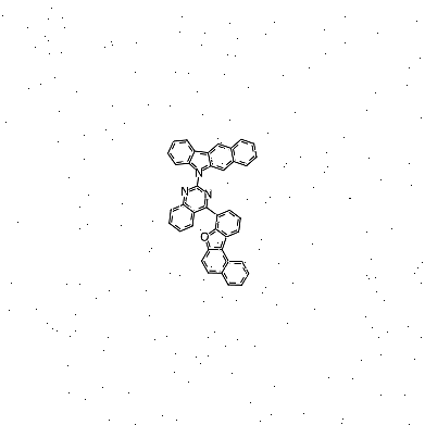 c1ccc2cc3c(cc2c1)c1ccccc1n3-c1nc(-c2cccc3c2oc2ccc4ccccc4c23)c2ccccc2n1